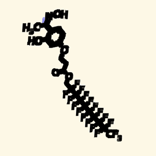 C/C(=N/O)c1ccc(OCCC(=O)OCC(F)(F)C(F)(F)C(F)(F)C(F)(F)C(F)(F)C(F)(F)C(F)(F)C(F)(F)C(F)(F)F)cc1O